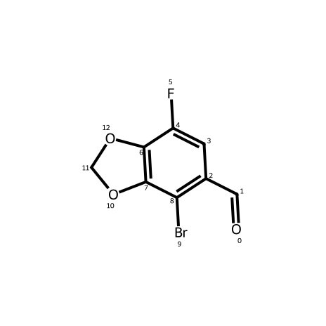 O=Cc1cc(F)c2c(c1Br)OCO2